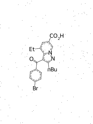 CCCCc1nn2cc(C(=O)O)cc(CC)c2c1C(=O)c1ccc(Br)cc1